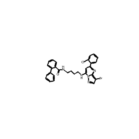 O=C(NCCCCNc1cc(-c2ccccc2Cl)nc2c(Br)cnn12)c1ccccc1-c1ccccc1